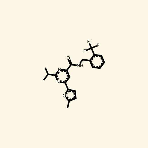 Cc1ccc(-c2cc(C(=O)NCc3ccccc3C(F)(F)F)nc(C(C)C)n2)o1